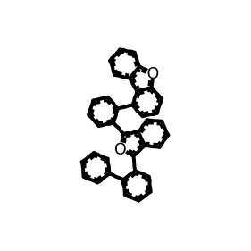 c1ccc(-c2ccccc2-c2oc(-c3ccccc3-c3cccc4oc5ccccc5c34)c3ccccc23)cc1